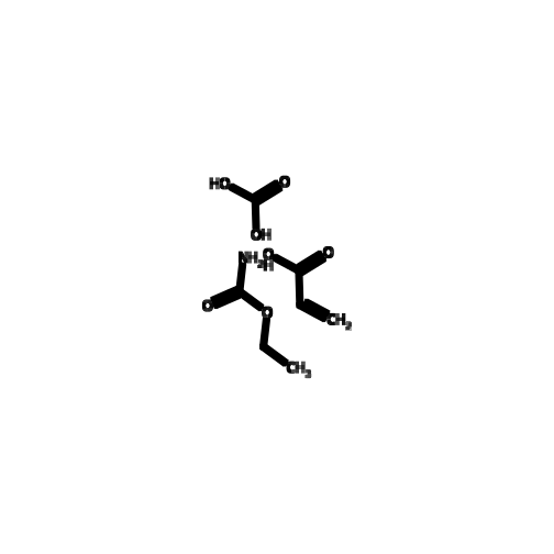 C=CC(=O)O.CCOC(N)=O.O=C(O)O